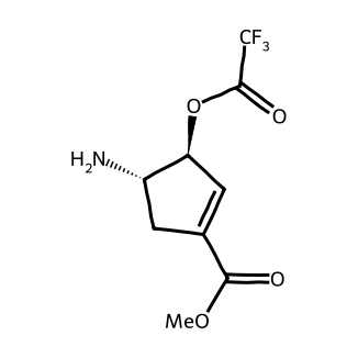 COC(=O)C1=C[C@H](OC(=O)C(F)(F)F)[C@@H](N)C1